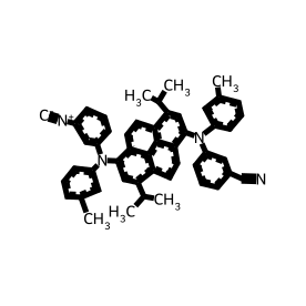 [C-]#[N+]c1cccc(N(c2cccc(C)c2)c2cc(C(C)C)c3ccc4c(N(c5cccc(C)c5)c5cccc(C#N)c5)cc(C(C)C)c5ccc2c3c54)c1